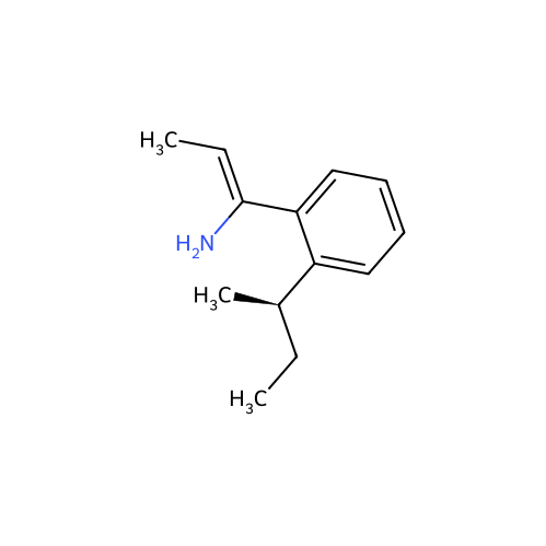 C/C=C(\N)c1ccccc1[C@H](C)CC